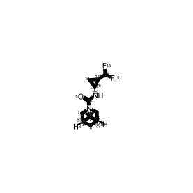 CC1(C)[C@@H]2C[C@H]1CN(C(=O)N[C@@H]1CC1C(F)F)C2